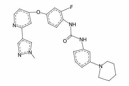 Cn1cc(-c2cc(Oc3ccc(NC(=O)Nc4cccc(N5CCCCC5)c4)c(F)c3)ccn2)cn1